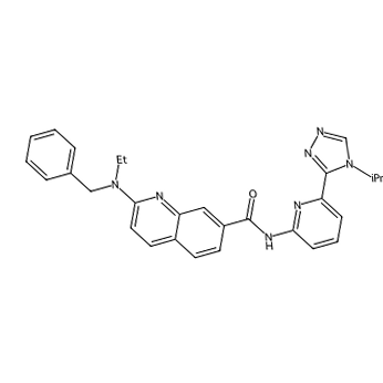 CCN(Cc1ccccc1)c1ccc2ccc(C(=O)Nc3cccc(-c4nncn4C(C)C)n3)cc2n1